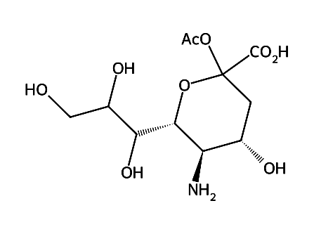 CC(=O)OC1(C(=O)O)C[C@H](O)[C@@H](N)[C@H](C(O)C(O)CO)O1